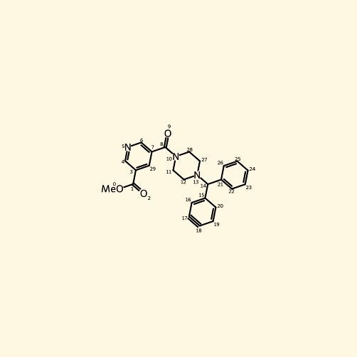 COC(=O)c1cncc(C(=O)N2CCN(C(c3cc#ccc3)c3ccccc3)CC2)c1